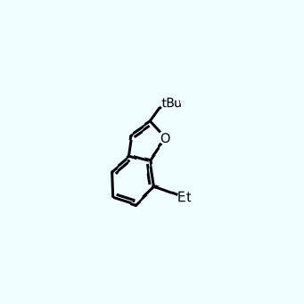 CCc1cccc2cc(C(C)(C)C)oc12